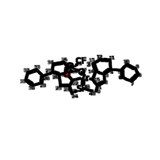 CC1=Cc2c(-c3ccccc3)cccc2[CH]1[Zr]([O]S(=O)(=O)C(F)(F)F)([CH]1C(C)=Cc2c(-c3ccccc3)cccc21)=[Si](C)C